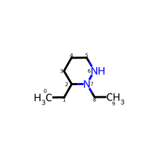 CCC1CCCNN1CC